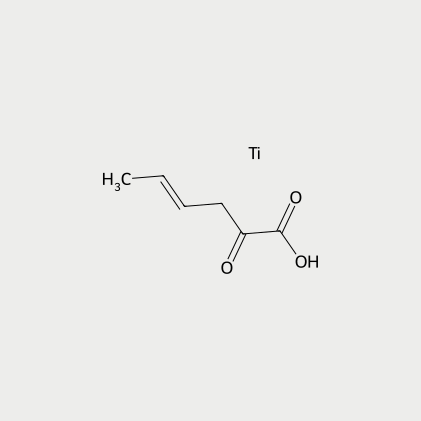 CC=CCC(=O)C(=O)O.[Ti]